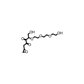 O=C(CC1CO1)C(=O)C(CO)OCCOCCOCCO